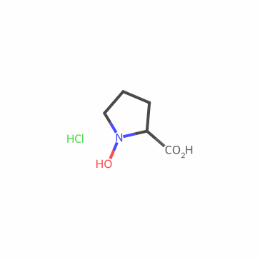 Cl.O=C(O)C1CCCN1O